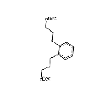 CCCCCCCCCCCCCc1ccccc1CCCCCCCCCCCCC